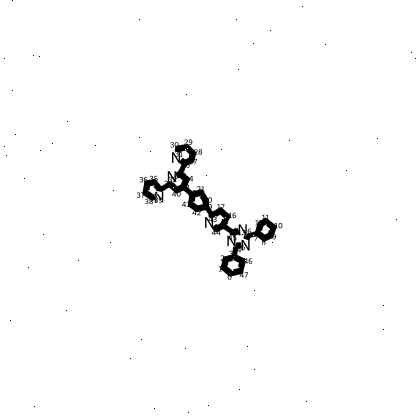 c1ccc(-c2nc(-c3ccccc3)nc(-c3ccc(-c4ccc(-c5cc(-c6ccccn6)nc(-c6ccccn6)c5)cc4)nc3)n2)cc1